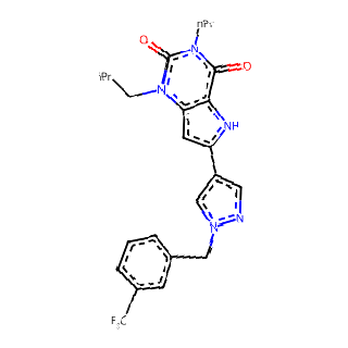 CCCn1c(=O)c2[nH]c(-c3cnn(Cc4cccc(C(F)(F)F)c4)c3)cc2n(CC(C)C)c1=O